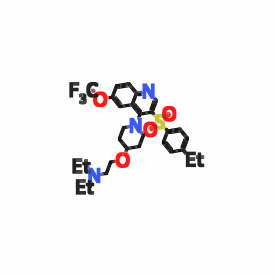 CCc1ccc(S(=O)(=O)c2cnc3ccc(OC(F)(F)F)cc3c2N2CCC(OCCN(CC)CC)CC2)cc1